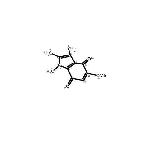 [CH2]c1c2c(n(C)c1C)C(=O)C=C(OC)C2=O